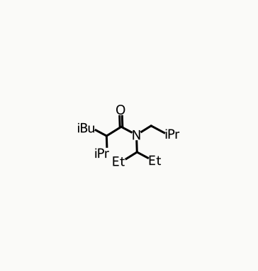 CCC(C)C(C(=O)N(CC(C)C)C(CC)CC)C(C)C